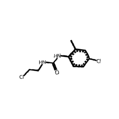 Cc1cc(Cl)ccc1NC(=O)NCCCl